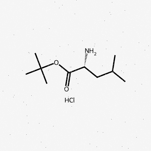 CC(C)C[C@@H](N)C(=O)OC(C)(C)C.Cl